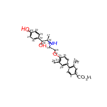 CCCc1cc(C(=O)O)ccc1-c1ccc(OCCN[C@H](C)[C@@H](O)c2ccc(O)cc2)c(C)c1